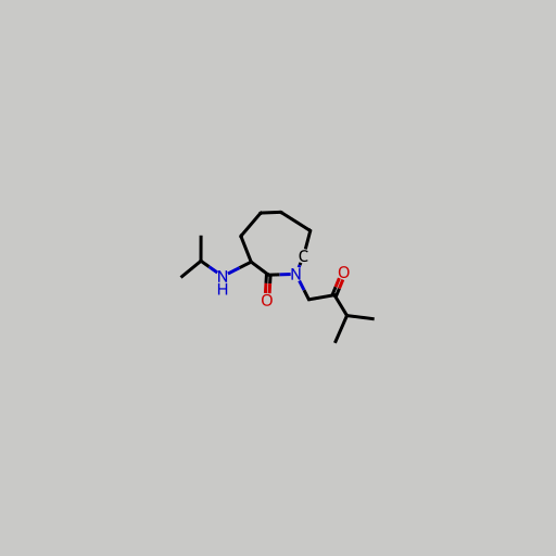 CC(C)NC1CCCCCN(CC(=O)C(C)C)C1=O